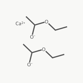 CCOC(C)[O-].CCOC(C)[O-].[Ca+2]